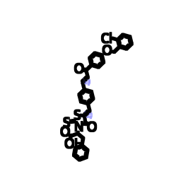 O=C(/C=C/c1ccc(/C=C2\SC(=S)N(C(Cc3ccccc3)C(=O)O)C2=O)cc1)c1ccc(OCc2ccccc2Cl)cc1